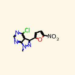 Cn1nc(-c2ccc([N+](=O)[O-])o2)c2c(Cl)ncnc21